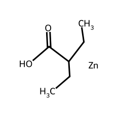 CCC(CC)C(=O)O.[Zn]